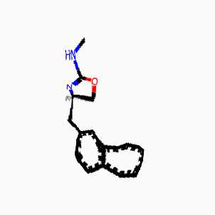 CNC1=N[C@H](Cc2ccc3ccccc3c2)CO1